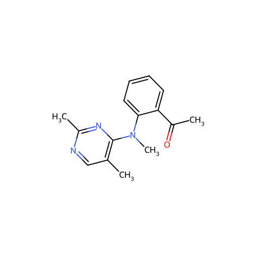 CC(=O)c1ccccc1N(C)c1nc(C)ncc1C